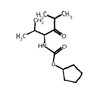 CC(C)C(=O)[C@@H](NC(=O)OC1CCCC1)C(C)C